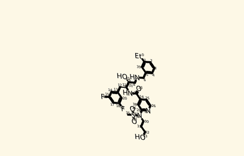 CCc1cccc(CNC[C@H](O)[C@H](Cc2cc(F)cc(F)c2)NC(=O)c2ccnc(N(CCCO)S(C)(=O)=O)c2)c1